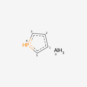 [AlH3].c1cc[pH]c1